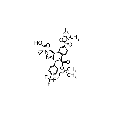 CN(C)S(=O)(=O)c1ccc(N(Cc2ccc(C(F)(F)F)cc2)C(=O)OC(C)(C)C)c(-c2cn(C3(C(=O)O)CC3)nn2)c1